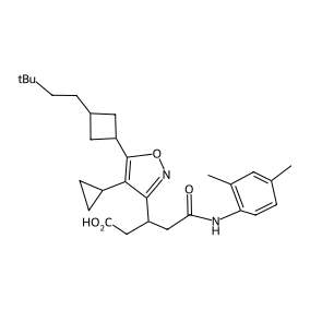 Cc1ccc(NC(=O)CC(CC(=O)O)c2noc(C3CC(CCC(C)(C)C)C3)c2C2CC2)c(C)c1